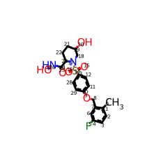 Cc1ccc(F)cc1COc1ccc(S(=O)(=O)N2CC(O)CCC2C(=O)NO)cc1